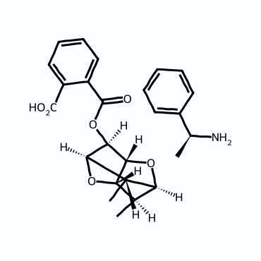 C[C@@H]1[C@@H]2O[C@H]3[C@H](OC(=O)c4ccccc4C(=O)O)[C@H](O[C@@H]13)[C@H]2C.C[C@H](N)c1ccccc1